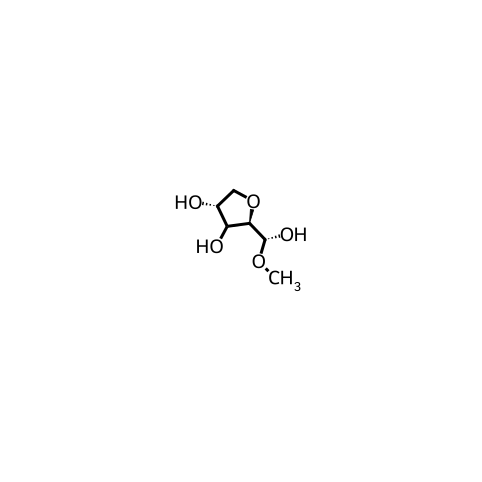 CO[C@@H](O)[C@@H]1OC[C@@H](O)C1O